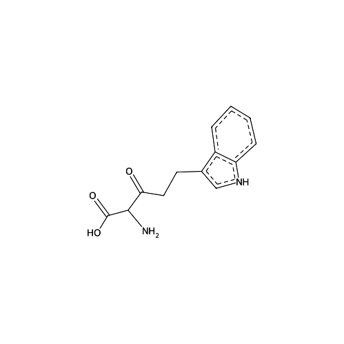 NC(C(=O)O)C(=O)CCc1c[nH]c2ccccc12